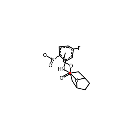 CCOC(=O)N1C2CCC1CC(Nc1cc(F)ccc1[N+](=O)[O-])C2